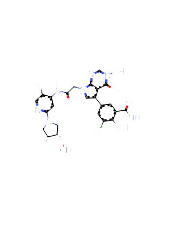 CO[C@@H]1CN(c2cc(NC(=O)Cn3cc(-c4cc(Cl)c(O)c(C(N)=O)c4)c4c(=O)n(C)cnc43)c(Cl)cn2)C[C@@H]1F